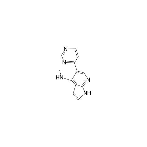 CNc1c(-c2ccncn2)cnc2[nH]ccc12